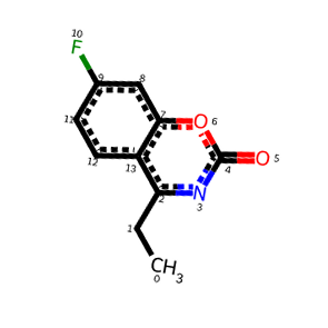 CCc1nc(=O)oc2cc(F)ccc12